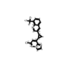 FC(F)(F)c1cccc2cc(C3CC3c3cc(Cl)nn4ccnc34)cnc12